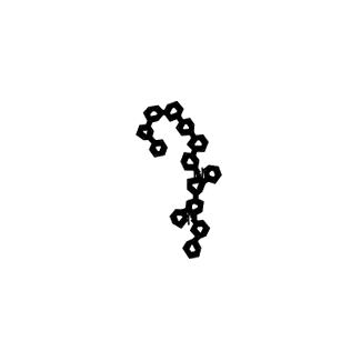 c1ccc(-c2cccc(-c3cccc(-c4cccc(-c5ccc(-c6cccc(-c7cccc(-n8c9ccccc9c9cc(-c%10ccc%11c(c%10)c%10ccccc%10n%11-c%10cccc(-c%11ccccc%11)c%10)ccc98)c7)c6)cc5)c4)c3)c2)cc1